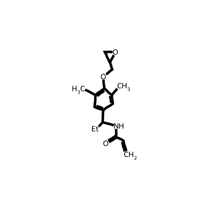 C=CC(=O)NC(CC)c1cc(C)c(OCC2CO2)c(C)c1